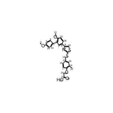 COc1ccc(-c2cc(-c3csc(SCc4ccc(OCC(=O)O)c(C)c4)n3)ccc2OC)cc1